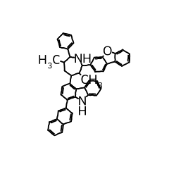 CC1CC(c2ccc(-c3ccc4ccccc4c3)c3[nH]c4ccccc4c23)C(C)C(c2ccc3c(c2)oc2ccccc23)NC1c1ccccc1